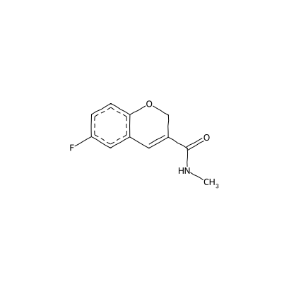 CNC(=O)C1=Cc2cc(F)ccc2OC1